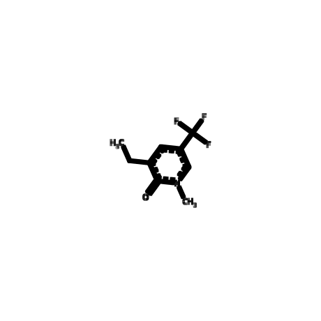 CCc1cc(C(F)(F)F)cn(C)c1=O